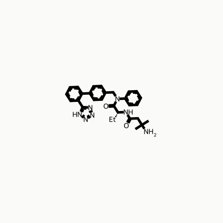 CC[C@@H](NC(=O)CC(C)(C)N)C(=O)N(Cc1ccc(-c2ccccc2-c2nnn[nH]2)cc1)c1ccccc1